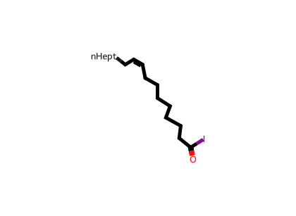 CCCCCCCC/C=C\CCCCCCCC(=O)I